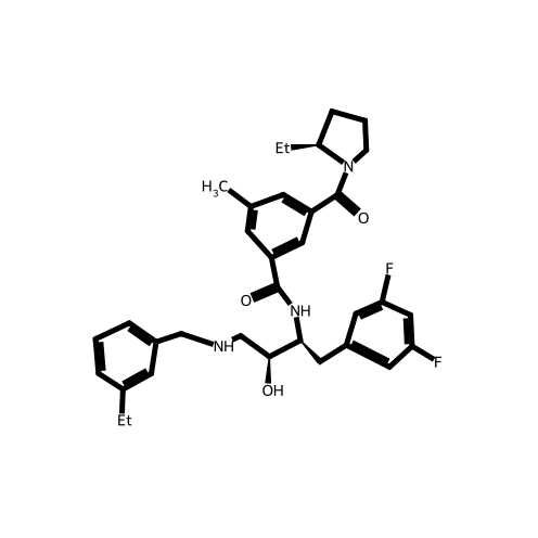 CCc1cccc(CNC[C@H](O)[C@H](Cc2cc(F)cc(F)c2)NC(=O)c2cc(C)cc(C(=O)N3CCC[C@@H]3CC)c2)c1